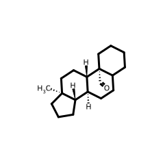 C[C@@]12CCC[C@H]1[C@@H]1CCC3CCCC[C@]3(C=O)[C@H]1CC2